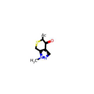 CC(=O)C1SCc2c(cnn2C)C1=O